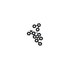 CC1(C)c2ccccc2-c2ccc(N(c3ccc(-c4ccccc4-c4ccccc4)cc3)c3cccc4c3-c3ccccc3C43c4ccccc4-c4c(-c5ccccc5)cccc43)cc21